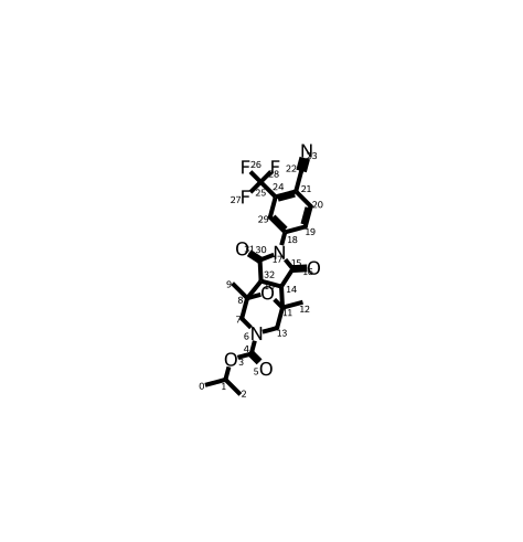 CC(C)OC(=O)N1CC2(C)OC(C)(C1)C1C(=O)N(c3ccc(C#N)c(C(F)(F)F)c3)C(=O)C12